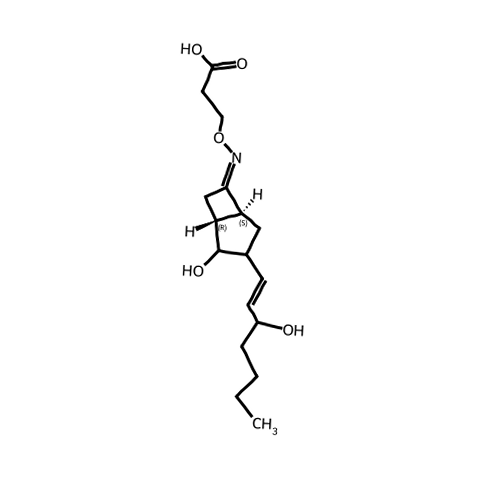 CCCCC(O)C=CC1C[C@@H]2C(=NOCCC(=O)O)C[C@H]2C1O